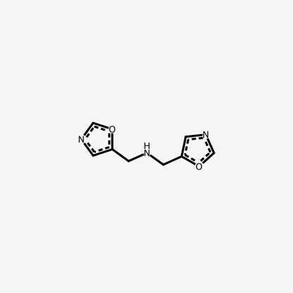 c1ncc(CNCc2cnco2)o1